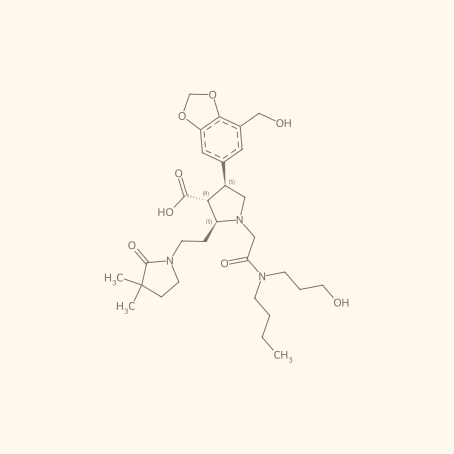 CCCCN(CCCO)C(=O)CN1C[C@H](c2cc(CO)c3c(c2)OCO3)[C@@H](C(=O)O)[C@@H]1CCN1CCC(C)(C)C1=O